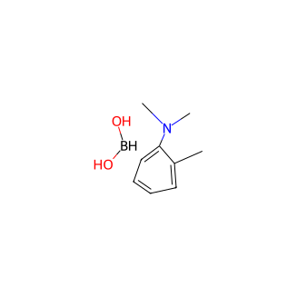 Cc1ccccc1N(C)C.OBO